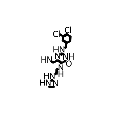 N=Cc1nc(NCc2ccc(Cl)c(Cl)c2)[nH]c(=O)c1NCCNC1=NCCN1